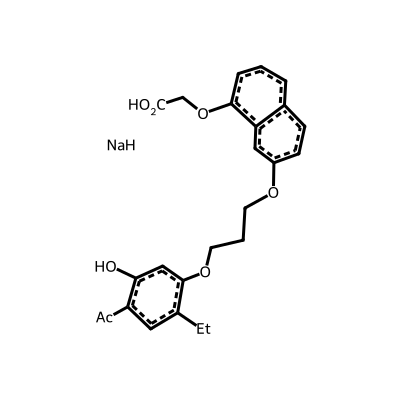 CCc1cc(C(C)=O)c(O)cc1OCCCOc1ccc2cccc(OCC(=O)O)c2c1.[NaH]